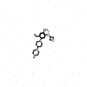 CCc1cc(N)c(OC2COC2)cc1N1CCC(N2CCN(C)CC2)CC1